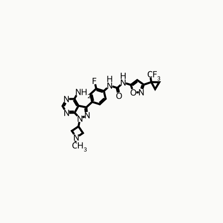 CN1CC(n2nc(-c3ccc(NC(=O)Nc4cc(C5(C(F)(F)F)CC5)no4)c(F)c3)c3c(N)ncnc32)C1